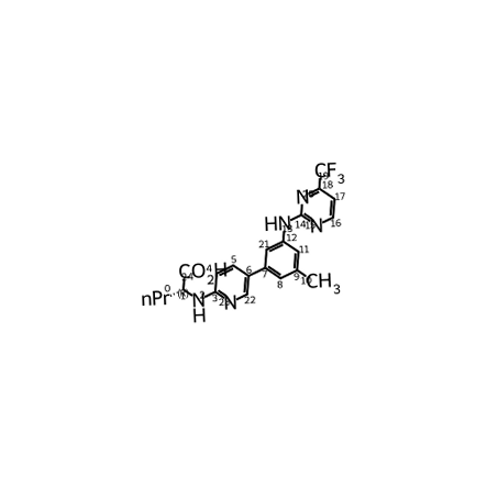 CCC[C@@H](Nc1ccc(-c2cc(C)cc(Nc3nccc(C(F)(F)F)n3)c2)cn1)C(=O)O